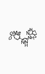 COC(=O)c1ccc(-c2cc(Nc3ncnc4ccsc34)[nH]n2)cc1